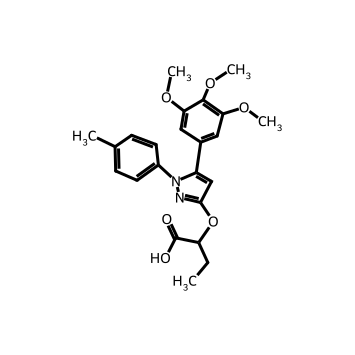 CCC(Oc1cc(-c2cc(OC)c(OC)c(OC)c2)n(-c2ccc(C)cc2)n1)C(=O)O